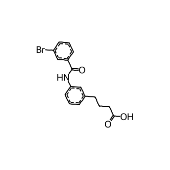 O=C(O)CCCc1cccc(NC(=O)c2cccc(Br)c2)c1